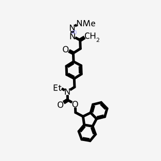 C=C(CC(=O)c1ccc(CN(CC)C(=O)OCC2c3ccccc3-c3ccccc32)cc1)/N=N\NC